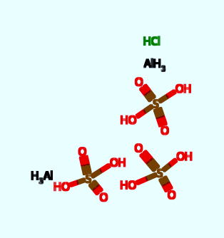 Cl.O=S(=O)(O)O.O=S(=O)(O)O.O=S(=O)(O)O.[AlH3].[AlH3]